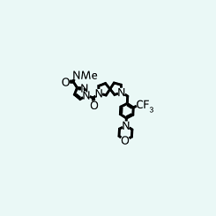 CNC(=O)c1ccn(C(=O)N2CCC3(CCN(Cc4ccc(N5CCOCC5)cc4C(F)(F)F)C3)C2)n1